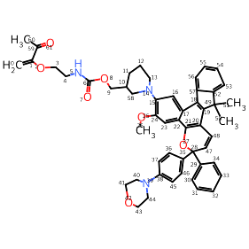 C=C(OCCNC(=O)OCC1CCCN(c2cc3c4c(c5c(c3cc2OC)OC(c2ccccc2)(c2ccc(N3CCOCC3)cc2)C=C5)C(C)(C)c2ccccc2-4)C1)C(C)=O